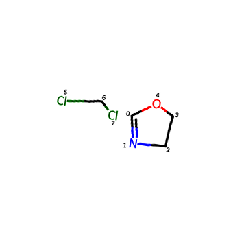 C1=NCCO1.ClCCl